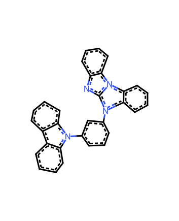 c1cc(-n2c3ccccc3c3ccccc32)cc(-n2c3ccccc3n3c4ccccc4nc23)c1